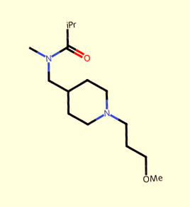 COCCCN1CCC(CN(C)C(=O)C(C)C)CC1